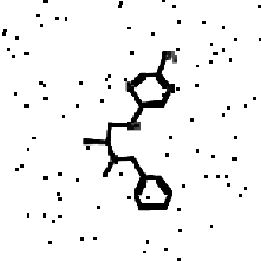 C[C@@H](CNc1cnc(C(F)(F)F)cn1)N(C)Cc1ccccc1